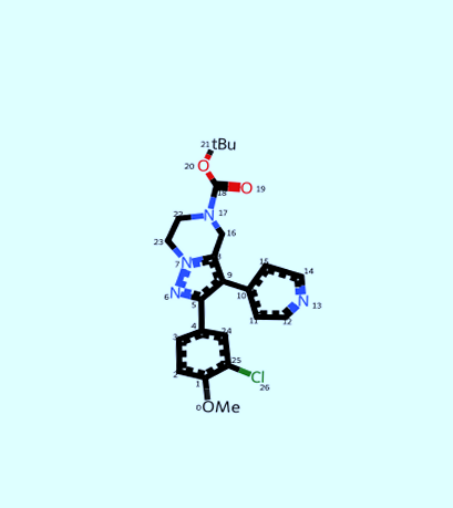 COc1ccc(-c2nn3c(c2-c2ccncc2)CN(C(=O)OC(C)(C)C)CC3)cc1Cl